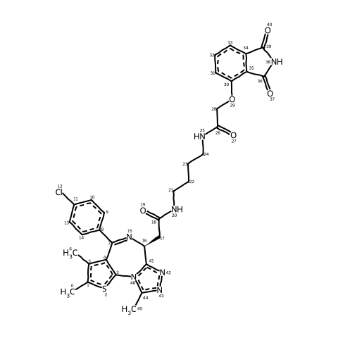 Cc1sc2c(c1C)C(c1ccc(Cl)cc1)=N[C@@H](CC(=O)NCCCCNC(=O)COc1cccc3c1C(=O)NC3=O)c1nnc(C)n1-2